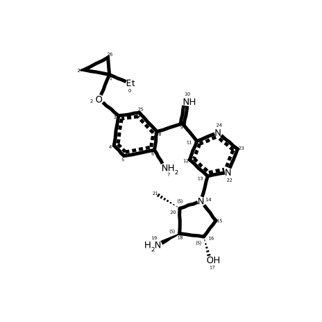 CCC1(Oc2ccc(N)c(C(=N)c3cc(N4C[C@H](O)[C@@H](N)[C@@H]4C)ncn3)c2)CC1